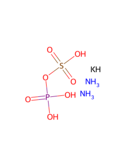 N.N.O=P(O)(O)OS(=O)(=O)O.[KH]